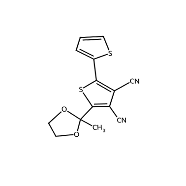 CC1(c2sc(-c3cccs3)c(C#N)c2C#N)OCCO1